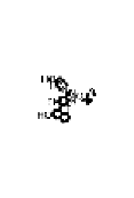 CN(C)CC1(COc2nc(N3CC4CC(O)[C@H](C3)N4)c3cc(Cl)c(-c4cc(O)cc5ccccc45)c(F)c3n2)CC1